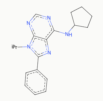 CC(C)n1c(-c2ccccc2)nc2c(NC3CCCC3)ncnc21